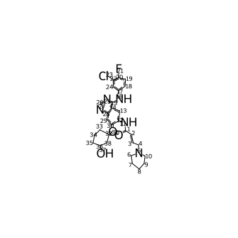 O=C(/C=C/CN1CCCCC1)Nc1cc2c(Nc3ccc(F)c(Cl)c3)ncnc2cc1OC1CCCC(O)C1